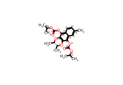 CCOc1c(OCC)c(OC(=O)OC(C)C)c2cc(C)ccc2c1OC(=O)OC(C)C